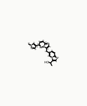 CC(O)c1cnc2ccc(Cc3cnc4ccc(-c5cnn(C)c5)nn34)cn12